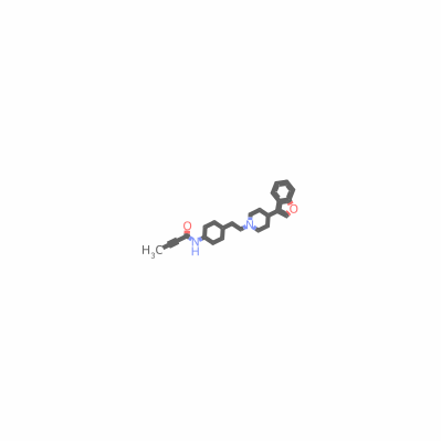 CC#CC(=O)NC1CCC(CCN2CCC(c3coc4ccccc34)CC2)CC1